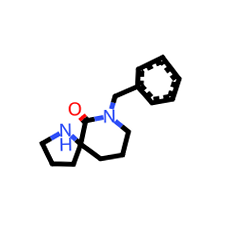 O=C1N(Cc2ccccc2)CCCC12CCCN2